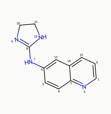 c1cnc2ccc(NC3=NCCN3)cc2c1